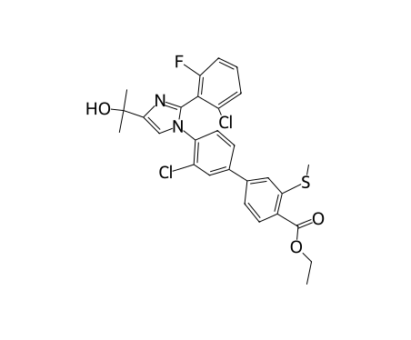 CCOC(=O)c1ccc(-c2ccc(-n3cc(C(C)(C)O)nc3-c3c(F)cccc3Cl)c(Cl)c2)cc1SC